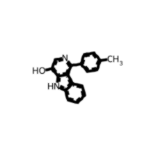 Cc1ccc(-c2ncc(O)c3[nH]c4ccccc4c23)cc1